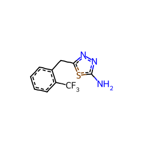 Nc1nnc(Cc2ccccc2C(F)(F)F)s1